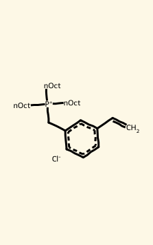 C=Cc1cccc(C[P+](CCCCCCCC)(CCCCCCCC)CCCCCCCC)c1.[Cl-]